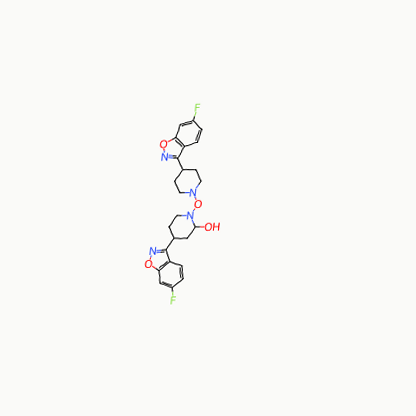 OC1CC(c2noc3cc(F)ccc23)CCN1ON1CCC(c2noc3cc(F)ccc23)CC1